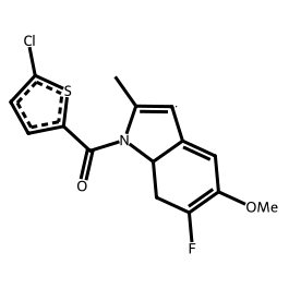 COC1=C(F)CC2C(=C1)[C]=C(C)N2C(=O)c1ccc(Cl)s1